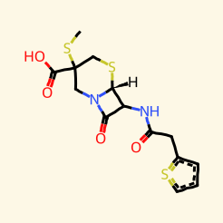 CSC1(C(=O)O)CS[C@@H]2C(NC(=O)Cc3cccs3)C(=O)N2C1